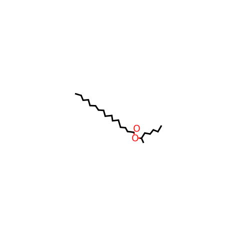 CCCCCCCCCCCCCCCC(=O)OC(C)CCCCC